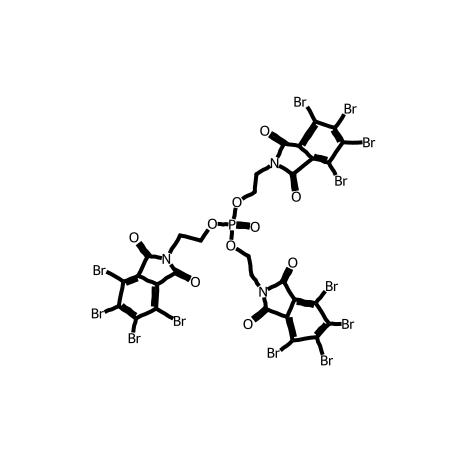 O=C1c2c(Br)c(Br)c(Br)c(Br)c2C(=O)N1CCOP(=O)(OCCN1C(=O)c2c(Br)c(Br)c(Br)c(Br)c2C1=O)OCCN1C(=O)c2c(Br)c(Br)c(Br)c(Br)c2C1=O